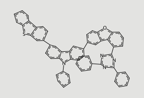 c1ccc(-c2nc(-c3ccccc3)nc(-c3cccc4oc5ccc(-c6ccc7c(c6)c6cc(-c8ccc9c(c8)sc8ccccc89)ccc6n7-c6ccccc6)cc5c34)n2)cc1